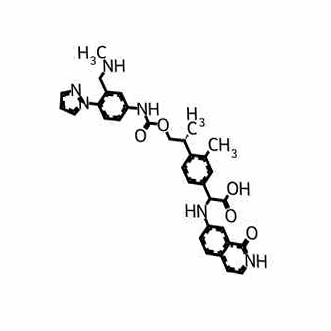 CNCc1cc(NC(=O)OC[C@H](C)c2ccc(C(Nc3ccc4cc[nH]c(=O)c4c3)C(=O)O)cc2C)ccc1-n1cccn1